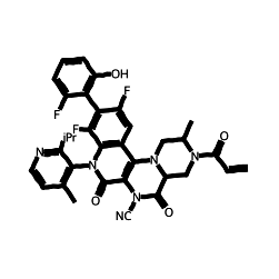 C=CC(=O)N1CC2C(=O)N(C#N)c3c(c4cc(F)c(-c5c(O)cccc5F)c(F)c4n(-c4c(C)ccnc4C(C)C)c3=O)N2CC1C